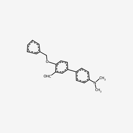 CN(C)c1ccc(-c2ccc(OCc3ccccc3)c(C=O)c2)cc1